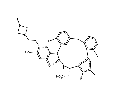 Cc1cc2cc(c1F)[C@H](CC(=O)O)NC(=O)[C@@H](n1cc(CCN3CC(F)C3)c(C(F)(F)F)cc1=O)c1cc(ccc1F)Cc1cccc(C)c1-2